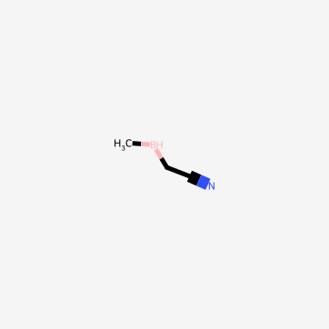 CBCC#N